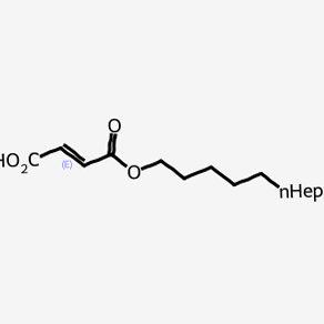 CCCCCCCCCCCCOC(=O)/C=C/C(=O)O